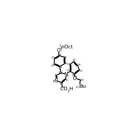 CCCCCCCCOc1ccc(C2C=NC(C(=O)O)=CN2c2ccccc2OCC(C)CC)cc1